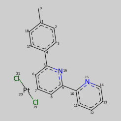 Cc1ccc(-c2cccc(-c3ccccn3)n2)cc1.[Cl][Pt][Cl]